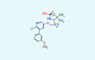 COc1cccc(-c2cc(OCC3(C(NC(=O)O)C(C)(C)C)CC3)cnc2Cl)c1